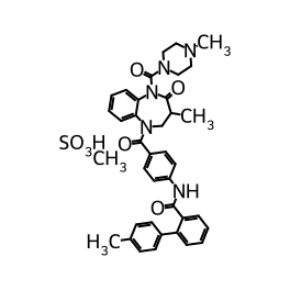 CS(=O)(=O)O.Cc1ccc(-c2ccccc2C(=O)Nc2ccc(C(=O)N3CC(C)C(=O)N(C(=O)N4CCN(C)CC4)c4ccccc43)cc2)cc1